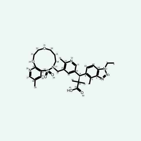 CCn1nnc2c(C)c([C@H](c3cnc(C)c(CN4CCCOCCOc5ncc(C)cc5S4(=O)=O)c3)C(C)(C)C(=O)O)ccc21